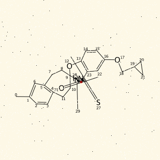 Cc1ccc2c(c1)CCC1(CC2)Oc2ccc(OCC3CC3)cc2C12NC(=S)N(C)C2=O